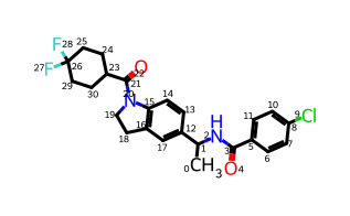 CC(NC(=O)c1ccc(Cl)cc1)c1ccc2c(c1)CCN2C(=O)C1CCC(F)(F)CC1